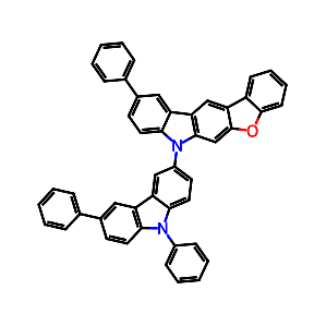 c1ccc(-c2ccc3c(c2)c2cc(-n4c5ccc(-c6ccccc6)cc5c5cc6c(cc54)oc4ccccc46)ccc2n3-c2ccccc2)cc1